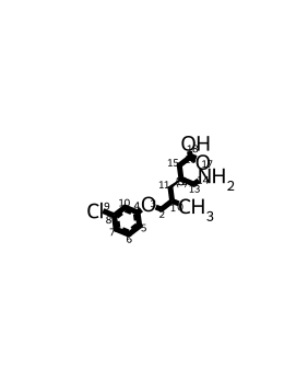 CC(COc1cccc(Cl)c1)C[C@H](CN)CC(=O)O